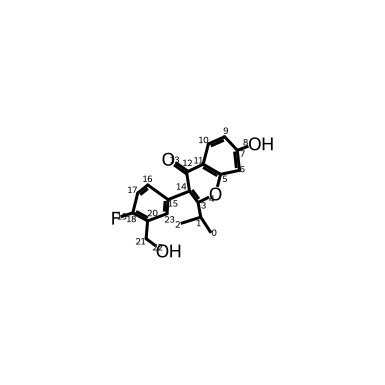 CC(C)c1oc2cc(O)ccc2c(=O)c1-c1ccc(F)c(CO)c1